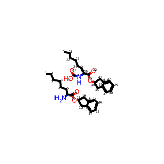 CCCCCCC(N)C(=O)OC1Cc2ccccc2C1.CCCCCCC(NC(=O)O)C(=O)OC1Cc2ccccc2C1